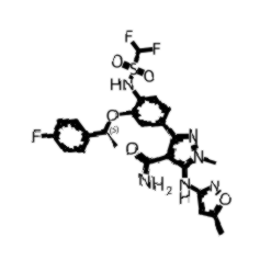 Cc1cc(Nc2c(C(N)=O)c(-c3ccc(NS(=O)(=O)C(F)F)c(O[C@@H](C)c4ccc(F)cc4)c3)nn2C)no1